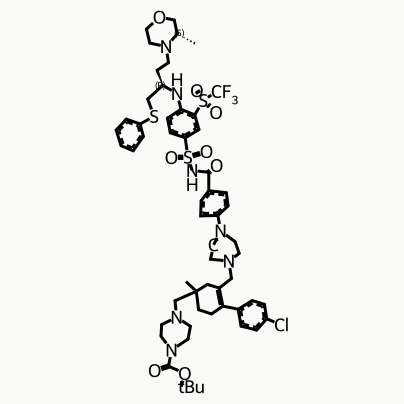 C[C@H]1COCCN1CC[C@H](CSc1ccccc1)Nc1ccc(S(=O)(=O)NC(=O)c2ccc(N3CCN(CC4=C(c5ccc(Cl)cc5)CCC(C)(CN5CCN(C(=O)OC(C)(C)C)CC5)C4)CC3)cc2)cc1S(=O)(=O)C(F)(F)F